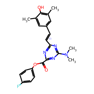 Cc1cc(/C=C/c2nc(C(=O)Oc3ccc(F)cc3)nc(N(C)C)n2)cc(C)c1O